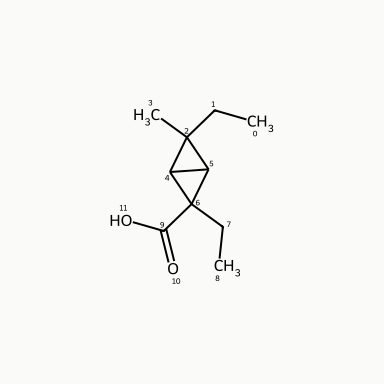 CCC1(C)C2C1C2(CC)C(=O)O